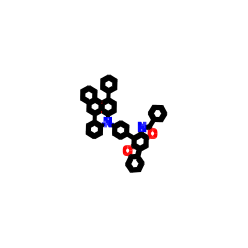 c1ccc(-c2ccc(N(c3ccc(-c4c5nc(-c6ccccc6)oc5cc5c4oc4ccccc45)cc3)c3ccccc3-c3ccc4ccccc4c3)cc2)cc1